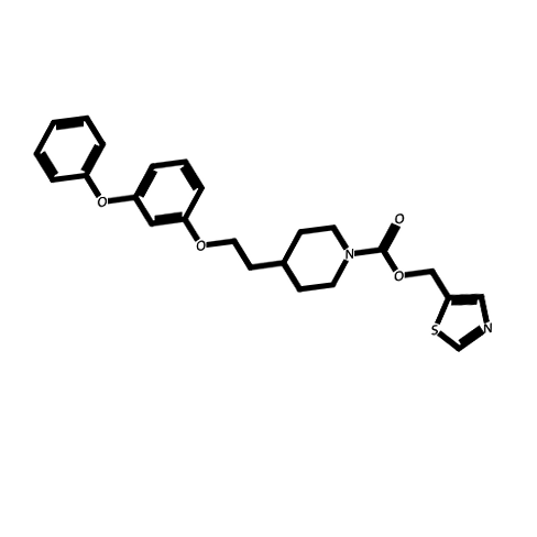 O=C(OCc1cncs1)N1CCC(CCOc2cccc(Oc3ccccc3)c2)CC1